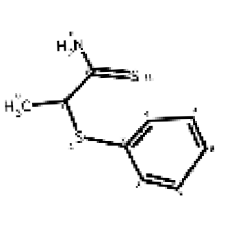 CC(Sc1ccccc1)C(N)=S